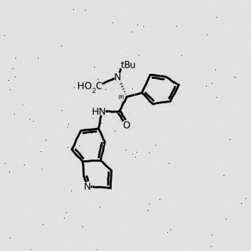 CC(C)(C)N(C(=O)O)[C@@H](C(=O)Nc1ccc2cnccc2c1)c1ccccc1